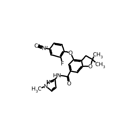 [C-]#[N+]c1ccc(Oc2cc(C(=O)Nc3ccn(C)n3)cc3c2CC(C)(C)O3)c(F)c1